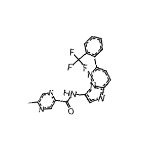 Cc1cnc(C(=O)Nc2cnc3ccc(-c4ccccc4C(F)(F)F)nn23)cn1